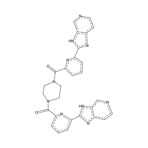 O=C(c1cccc(-c2nc3ccncc3[nH]2)n1)N1CCN(C(=O)c2cccc(-c3nc4ccncc4[nH]3)n2)CC1